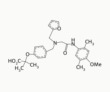 COc1cc(C)c(NC(=O)CN(Cc2ccc(OC(C)(C)C(=O)O)cc2)Cc2ccco2)cc1C